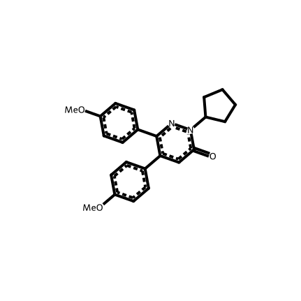 COc1ccc(-c2cc(=O)n(C3CCCC3)nc2-c2ccc(OC)cc2)cc1